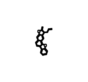 C=CCC1C(=C)Oc2cc3ccc4c5ccccc5oc4c3cc21